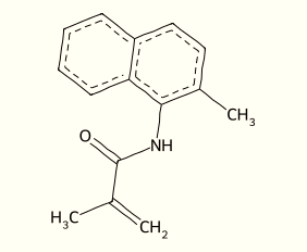 C=C(C)C(=O)Nc1c(C)ccc2ccccc12